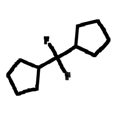 FC(F)(C1CCCC1)C1CCCC1